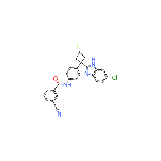 N#Cc1cccc(C(=O)Nc2ccc(C3(c4nc5ccc(Cl)cc5[nH]4)CC(F)C3)cc2)c1